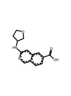 O=C(O)c1ccc2cnc(NC3CCOC3)cc2c1